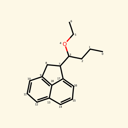 CCCC(OCC)C1Cc2cccc3cccc1c23